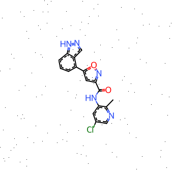 Cc1ncc(Cl)cc1NC(=O)c1cc(-c2cccc3[nH]ncc23)on1